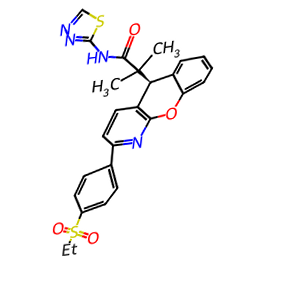 CCS(=O)(=O)c1ccc(-c2ccc3c(n2)Oc2ccccc2[C@@H]3C(C)(C)C(=O)Nc2nncs2)cc1